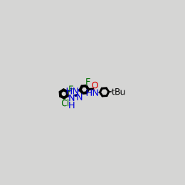 CC(C)(C)[C@H]1CC[C@H](NC(=O)c2cc3nc(Nc4c(F)cccc4Cl)[nH]c3cc2F)CC1